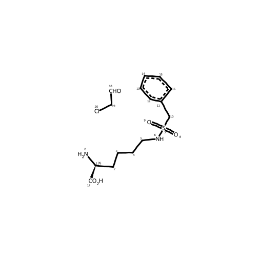 N[C@@H](CCCCNS(=O)(=O)Cc1ccccc1)C(=O)O.O=CCCl